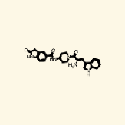 N[C@@H](Cc1c[nH]c2ccccc12)C(=O)N1CCC(NC(=O)c2ccc3c(c2)CC(=O)N3)CC1